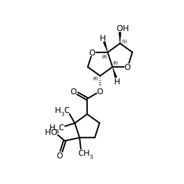 CC1(C(=O)O)CCC(C(=O)O[C@@H]2CO[C@H]3[C@@H]2OC[C@@H]3O)C1(C)C